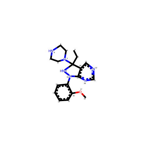 CCC1(N2CCNCC2)NN(c2ccccc2OC)c2ncncc21